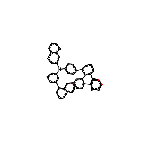 c1ccc(-c2ccccc2-c2c(-c3ccccc3)cccc2-c2ccc(N(c3cccc(-c4cccc5ccccc45)c3)c3ccc4ccccc4c3)cc2)cc1